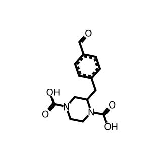 O=Cc1ccc(CC2CN(C(=O)O)CCN2C(=O)O)cc1